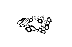 Cc1ccc(N(C2=CC3C(OC4c5ccccc5C(N(c5ccc(C)cc5)c5cccc6c5OC5C=CC=CC65)=CC43)c3ccccc32)C2=CC=CC3C2OC2C=CC=CC23)cc1